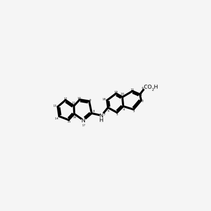 O=C(O)c1ccc2cc(Nc3ccc4ccccc4n3)ccc2c1